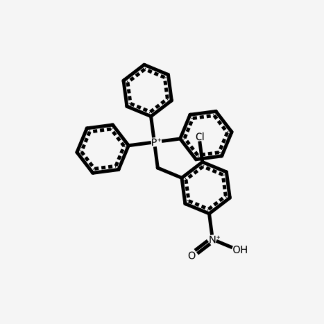 O=[N+](O)c1ccc(Cl)c(C[P+](c2ccccc2)(c2ccccc2)c2ccccc2)c1